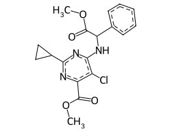 COC(=O)c1nc(C2CC2)nc(NC(C(=O)OC)c2ccccc2)c1Cl